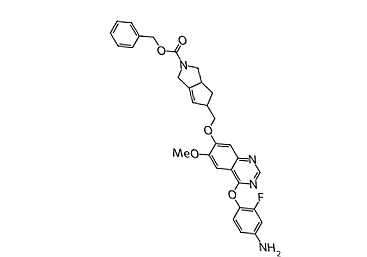 COc1cc2c(Oc3ccc(N)cc3F)ncnc2cc1OCC1C=C2CN(C(=O)OCc3ccccc3)CC2C1